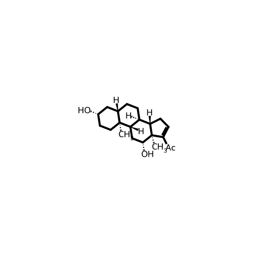 CC(=O)C1=CC[C@H]2[C@@H]3CC[C@H]4C[C@@H](O)CC[C@]4(C)[C@H]3C[C@@H](O)[C@]12C